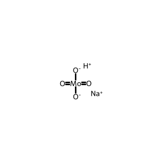 [H+].[Na+].[O]=[Mo](=[O])([O-])[O-]